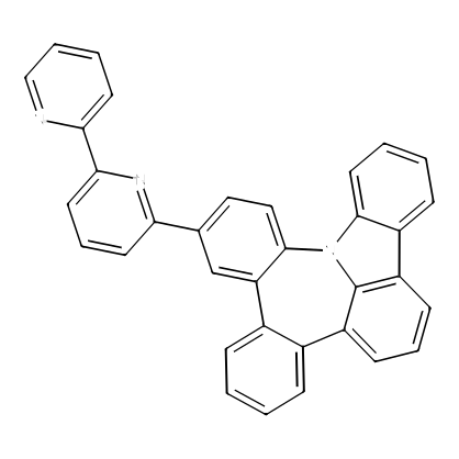 c1ccc(-c2cccc(-c3ccc4c(c3)-c3ccccc3-c3cccc5c6ccccc6n-4c35)n2)nc1